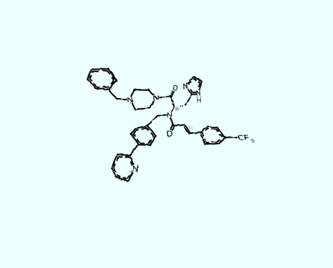 O=C([C@H](Cc1ncc[nH]1)N(Cc1ccc(-c2ccccn2)cc1)C(=O)/C=C/c1ccc(C(F)(F)F)cc1)N1CCN(Cc2ccccc2)CC1